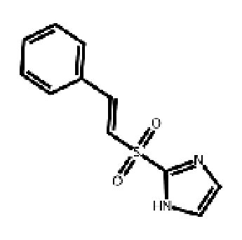 O=S(=O)(C=Cc1ccccc1)c1ncc[nH]1